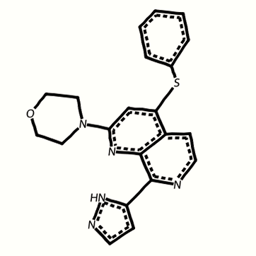 c1ccc(Sc2cc(N3CCOCC3)nc3c(-c4ccn[nH]4)nccc23)cc1